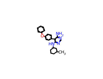 C[C@H]1CCC[C@@H](Nc2ncnc(N)c2-c2ccc(Oc3ccccc3)cc2)C1